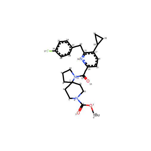 CC(C)(C)OC(=O)N1CCC2(CCCN2C(=O)c2ccc(C3CC3)c(Cc3ccc(F)cc3)n2)CC1